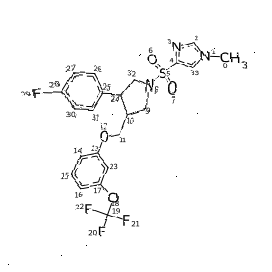 Cn1cnc(S(=O)(=O)N2CC(COc3cccc(OC(F)(F)F)c3)C(c3ccc(F)cc3)C2)c1